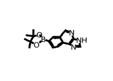 CC1(C)OB(c2ccc3c(cnc4[nH]cnc43)c2)OC1(C)C